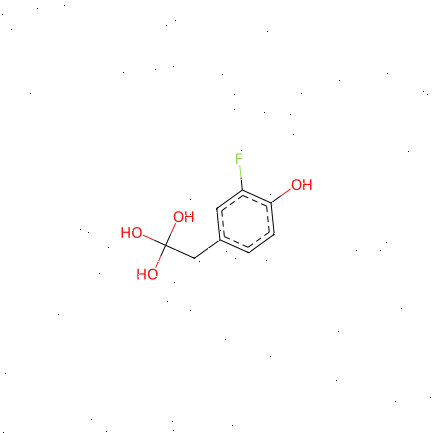 Oc1ccc(CC(O)(O)O)cc1F